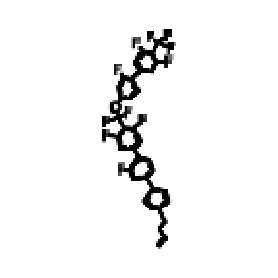 C=CCCc1ccc(-c2ccc(-c3cc(F)c(C(F)(F)Oc4ccc(-c5cc(F)c(C(F)(F)F)c(F)c5)c(F)c4)c(F)c3)c(F)c2)cc1